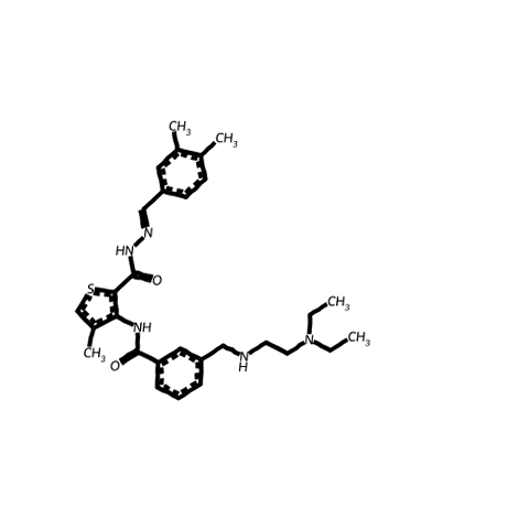 CCN(CC)CCNCc1cccc(C(=O)Nc2c(C)csc2C(=O)NN=Cc2ccc(C)c(C)c2)c1